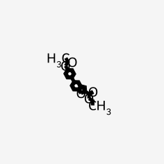 CCOC(=O)c1cc2cc(-c3ccc(OC(C)=O)cc3)ccc2o1